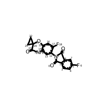 O=C1c2ccc(F)cc2C(=O)N1c1cc2c(cc1F)OC1(CC1)C(=O)N2